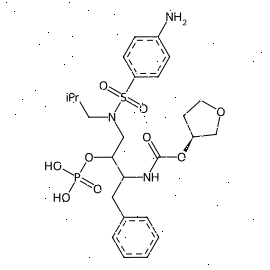 CC(C)CN(CC(OP(=O)(O)O)C(Cc1ccccc1)NC(=O)O[C@H]1CCOC1)S(=O)(=O)c1ccc(N)cc1